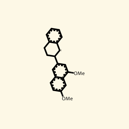 COc1ccc2cc(C3[C]c4ccccc4CC3)cc(OC)c2c1